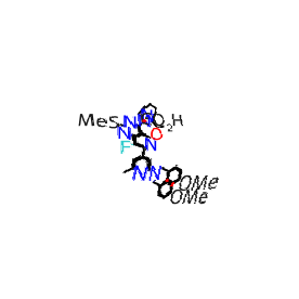 COc1ccc(CN(Cc2ccc(OC)cc2)c2cc(-c3nc4c5c(nc(SC)nc5c3F)N3CC5CCC(C3C(C)O4)N5C(=O)O)cc(C)n2)cc1